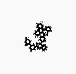 c1ccc(-c2cccc(-c3nc(-c4ccc(-c5nc6ccccc6c6c7ccccc7c7ccccc7c56)cc4)c4ccccc4n3)c2)cc1